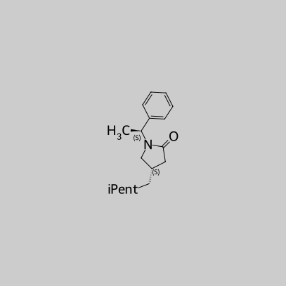 CCCC(C)C[C@H]1CC(=O)N([C@@H](C)c2ccccc2)C1